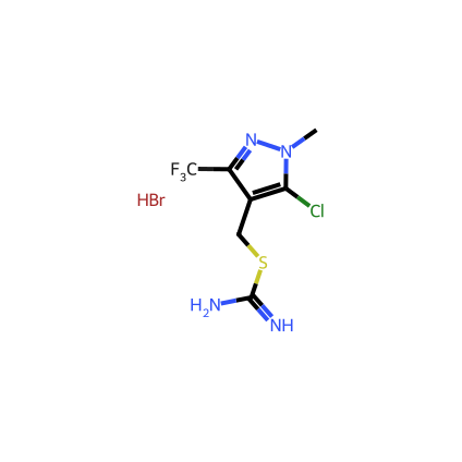 Br.Cn1nc(C(F)(F)F)c(CSC(=N)N)c1Cl